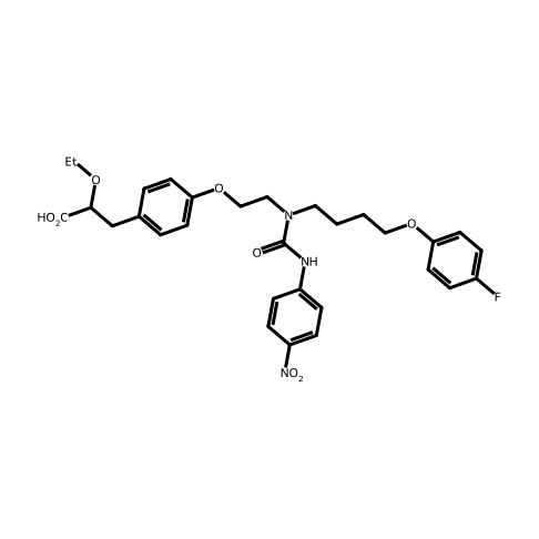 CCOC(Cc1ccc(OCCN(CCCCOc2ccc(F)cc2)C(=O)Nc2ccc([N+](=O)[O-])cc2)cc1)C(=O)O